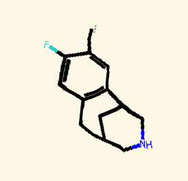 [C]c1cc2c(cc1F)CC1CNCC2C1